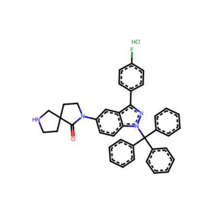 Cl.O=C1N(c2ccc3c(c2)c(-c2ccc(F)cc2)nn3C(c2ccccc2)(c2ccccc2)c2ccccc2)CCC12CCNC2